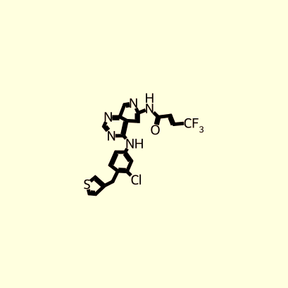 O=C(C=CC(F)(F)F)Nc1cc2c(Nc3ccc(Cc4ccsc4)c(Cl)c3)ncnc2cn1